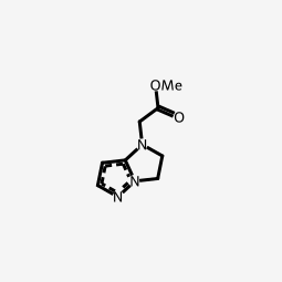 COC(=O)CN1CCn2nccc21